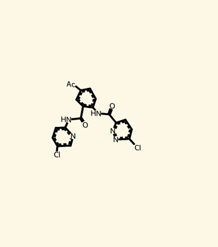 CC(=O)c1ccc(NC(=O)c2ccc(Cl)nn2)c(C(=O)Nc2ccc(Cl)cn2)c1